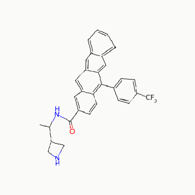 CC(NC(=O)c1ccc2c(-c3ccc(C(F)(F)F)cc3)c3cc4ccccc4cc3cc2c1)C1CNC1